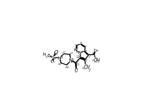 Cc1c(C(=O)O)c2cccnn2c1C(=O)N1CCN(S(C)(=O)=O)CC1